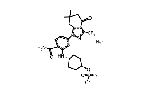 CC1(C)CC(=O)c2c(C(F)(F)F)nn(-c3ccc(C(N)=O)c(N[C@H]4CC[C@H](OS(=O)(=O)[O-])CC4)c3)c2C1.[Na+]